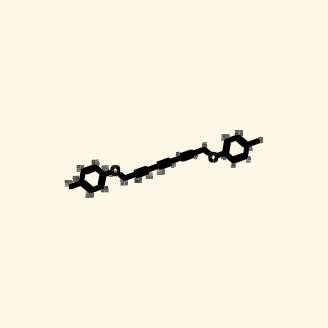 Cc1ccc(OCC#CC#CC#CCOc2ccc(C)cc2)cc1